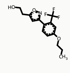 CCCOc1ccc(-c2cc(CCO)on2)c(C(F)(F)F)c1